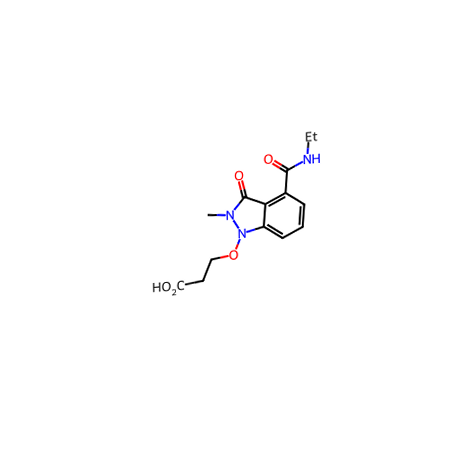 CCNC(=O)c1cccc2c1c(=O)n(C)n2OCCC(=O)O